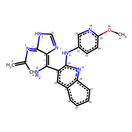 C=C(C)/N=C1/NC=N/C1=C(/N)c1cc2ccccc2nc1Nc1ccc(OC)nc1